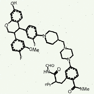 CCCC(Cc1cc(N2CCN(CC3CCN(c4ccc(C5c6ccc(O)cc6OCC5c5ccc(F)c(OC)c5)cc4F)CC3)CC2)ccc1C(=O)NC)C(=O)NC=O